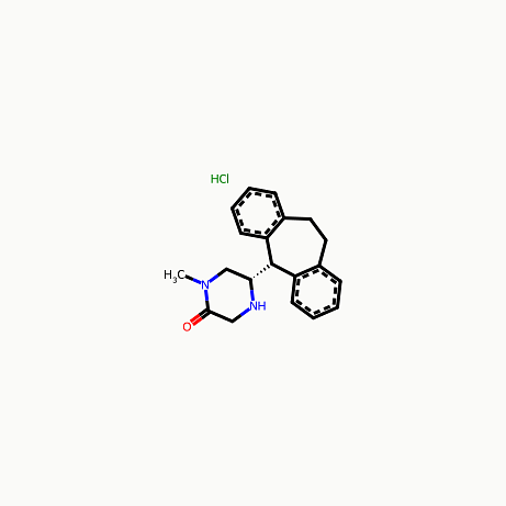 CN1C[C@H](C2c3ccccc3CCc3ccccc32)NCC1=O.Cl